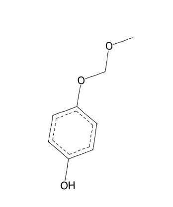 COCOc1ccc(O)cc1